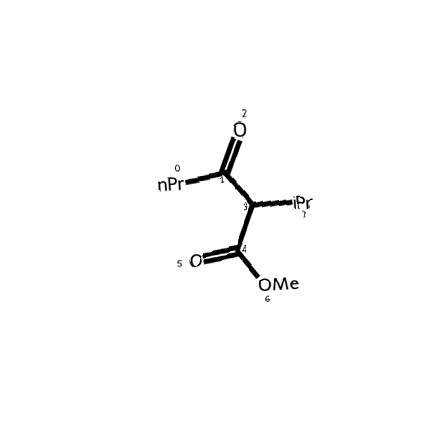 CCCC(=O)C(C(=O)OC)C(C)C